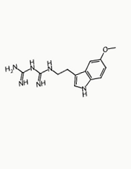 COc1ccc2[nH]cc(CCNC(=N)NC(=N)N)c2c1